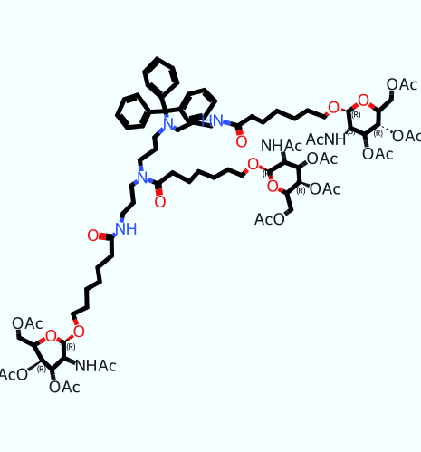 CC(=O)NC1C(OC(C)=O)[C@@H](OC(C)=O)C(COC(C)=O)O[C@H]1OCCCCCCC(=O)NCCCN(CCCN(CCCNC(=O)CCCCCCO[C@@H]1OC(COC(C)=O)[C@H](OC(C)=O)C(OC(C)=O)[C@@H]1NC(C)=O)C(c1ccccc1)(c1ccccc1)c1ccccc1)C(=O)CCCCCCO[C@@H]1OC(COC(C)=O)[C@H](OC(C)=O)C(OC(C)=O)C1NC(C)=O